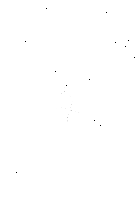 C[Si](C)(Br)O[SiH3]